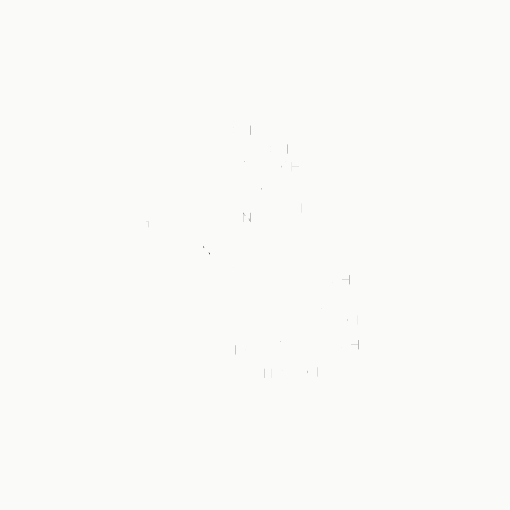 CC(C)c1cccc2c1-c1nc3cc4c(cc3n1C(C)(C)C2(C)C)C(C)(C)C(C)(C)C4(C)C